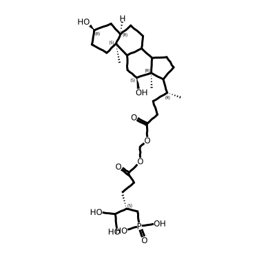 C[C@H](CCC(=O)OCOC(=O)CC[C@H](CP(=O)(O)O)C(O)O)C1CCC2C3CC[C@@H]4C[C@H](O)CC[C@]4(C)C3C[C@H](O)[C@@]21C